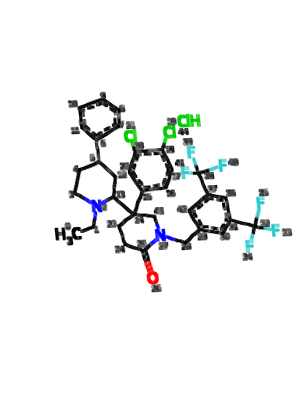 CCN1CCC(c2ccccc2)CC1C1(c2ccc(Cl)c(Cl)c2)CCC(=O)N(Cc2cc(C(F)(F)F)cc(C(F)(F)F)c2)C1.Cl